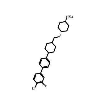 CCCC[C@H]1CC[C@H](CCC2CCC(c3ccc(-c4ccc(Cl)c(F)c4)cc3)CC2)CC1